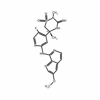 COc1cnc2c(Nc3cc([C@]4(C)CS(=O)(=O)N(C)C(=N)N4)c(F)cn3)nccc2c1